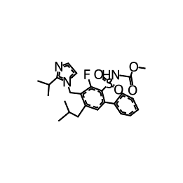 COC(=O)NS(=O)(=O)c1c(-c2ccccc2)cc(CC(C)C)c(Cn2ccnc2C(C)C)c1F